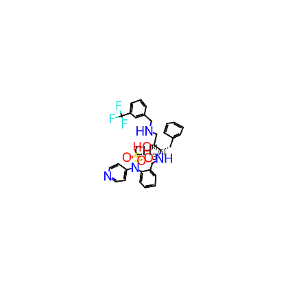 CS(=O)(=O)N(c1ccncc1)c1ccccc1C(=O)N[C@@H](Cc1ccccc1)[C@H](O)CNCc1cccc(C(F)(F)F)c1